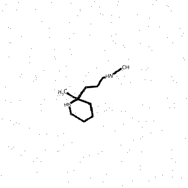 [CH]NCCCC1(C)CCCCN1